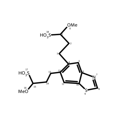 COC(CCc1cc2ncsc2cc1CCC(OC)S(=O)(=O)O)S(=O)(=O)O